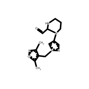 Cc1noc(C)c1Cn1cc(N2CCCNC2C=O)cn1